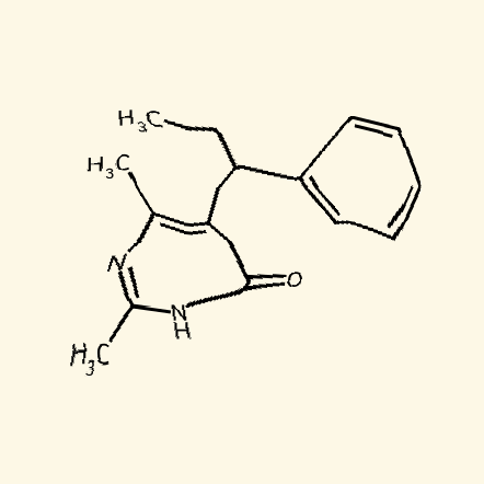 CCC(c1ccccc1)c1c(C)nc(C)[nH]c1=O